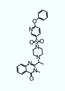 CC(c1nc2ccccc2c(=O)n1C)N1CCN(S(=O)(=O)c2ccc(Oc3ccccc3)nc2)CC1